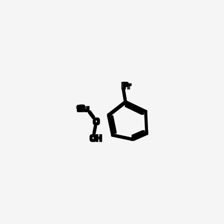 CC(C)(C)OO.CC(C)c1ccccc1